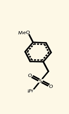 COc1ccc(CS(=O)(=O)C(C)C)cc1